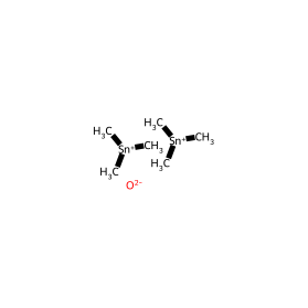 [CH3][Sn+]([CH3])[CH3].[CH3][Sn+]([CH3])[CH3].[O-2]